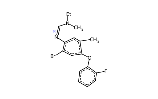 CCN(C)/C=N\c1cc(C)c(Oc2ccccc2F)cc1Br